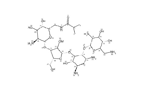 CC(C)C(=O)NCC1O[C@H](OC2C(O)[C@H](OC3C(O)[C@H](N)CC(N)[C@H]3O[C@H]3OC(CN)[C@@H](O)C(O)C3N)O[C@@H]2CO)[C@@H](N)C(O)[C@@H]1O